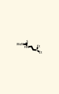 CCN(CC)CCNC(=S)NC